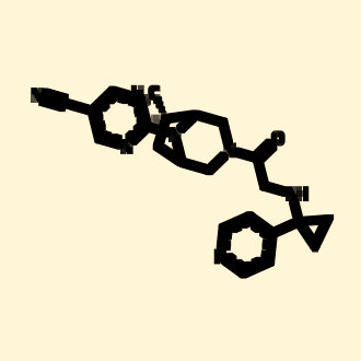 C[C@H]1CC2CN(C(=O)CNC3(c4ccncc4)CC3)CC1N2c1ccc(C#N)cn1